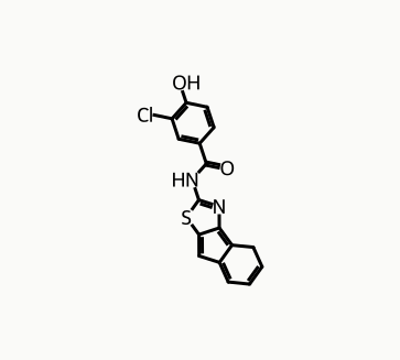 O=C(Nc1nc2c(s1)=CC1=CC=CCC=21)c1ccc(O)c(Cl)c1